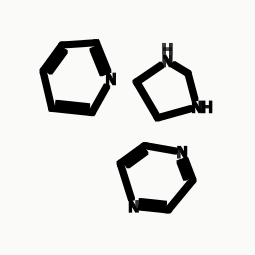 C1CNCN1.c1ccncc1.c1cnccn1